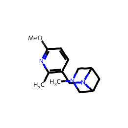 COc1ccc(CN2C3CC2CN(C)C3)c(C)n1